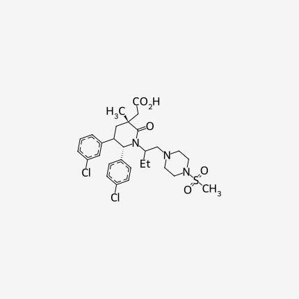 CCC(CN1CCN(S(C)(=O)=O)CC1)N1C(=O)[C@@](C)(CC(=O)O)CC(c2cccc(Cl)c2)[C@H]1c1ccc(Cl)cc1